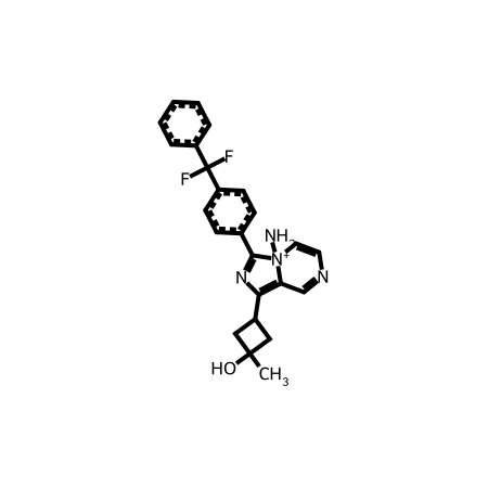 CC1(O)CC(C2=C3C=NC=C[N+]3(N)C(c3ccc(C(F)(F)c4ccccc4)cc3)=N2)C1